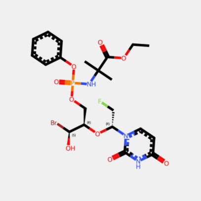 CCOC(=O)C(C)(C)NP(=O)(OC[C@@H](O[C@H](CF)n1ccc(=O)[nH]c1=O)[C@@H](O)Br)Oc1ccccc1